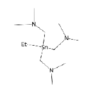 C[CH2][Sn]([CH2]N(C)C)([CH2]N(C)C)[CH2]N(C)C